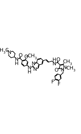 COc1cc(Nc2ncc3cc(C=CCNC(=O)c4c(C)n(C)n(Cc5ccc(F)c(F)c5)c4=O)ccc3n2)ccc1C(=O)NC1CCN(C)CC1